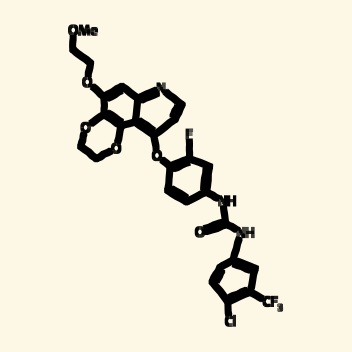 COCCOc1cc2nccc(Oc3ccc(NC(=O)Nc4ccc(Cl)c(C(F)(F)F)c4)cc3F)c2c2c1OCCO2